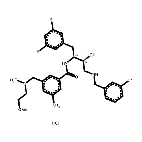 CCc1cccc(CNC[C@H](O)[C@H](Cc2cc(F)cc(F)c2)NC(=O)c2cc(C)cc(CN(C)CCOC)c2)c1.Cl